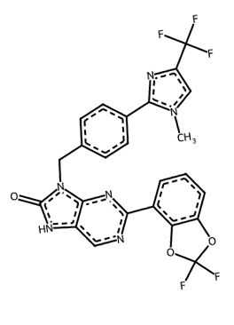 Cn1cc(C(F)(F)F)nc1-c1ccc(Cn2c(=O)[nH]c3cnc(-c4cccc5c4OC(F)(F)O5)nc32)cc1